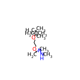 C=C(OCCCO[Si](C)(C)C(C)(C)C)N(C)NC